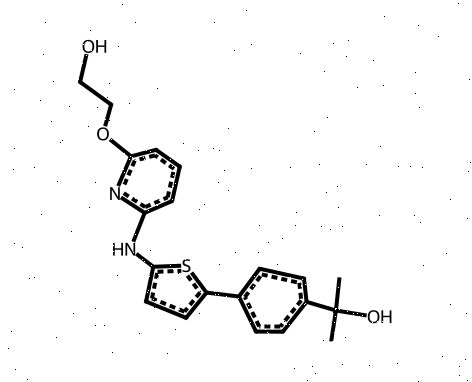 CC(C)(O)c1ccc(-c2ccc(Nc3cccc(OCCO)n3)s2)cc1